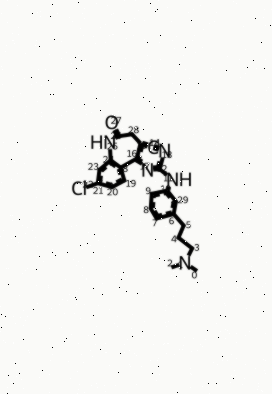 CN(C)CCCc1cccc(Nc2ncc3c(n2)-c2ccc(Cl)cc2NC(=O)C3)c1